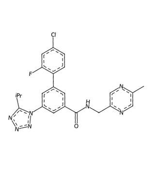 Cc1cnc(CNC(=O)c2cc(-c3ccc(Cl)cc3F)cc(-n3nnnc3C(C)C)c2)cn1